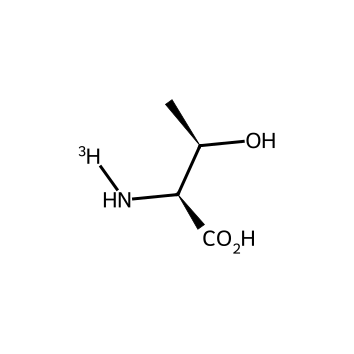 [3H]N[C@H](C(=O)O)[C@@H](C)O